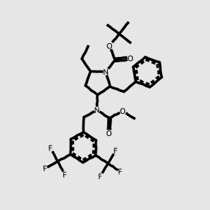 CCC1CC(N(Cc2cc(C(F)(F)F)cc(C(F)(F)F)c2)C(=O)OC)C(Cc2ccccc2)N1C(=O)OC(C)(C)C